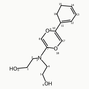 OCCN(CCO)C1=COC(C2=CC=CCC2)=CO1